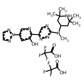 CN(c1ncc(-c2ncc(-n3nccn3)cc2O)nn1)C1CC(C)(C)NC(C)(C)C1.O=C(O)C(F)(F)F.O=C(O)C(F)(F)F